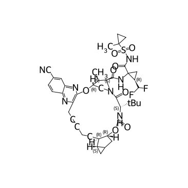 C[C@@H]1[C@@H]2CN(C(=O)[C@H](C(C)(C)C)NC(=O)O[C@@H]3CC4C[C@@H]4[C@H]3CCCCCc3nc4ccc(C#N)cc4nc3O2)[C@@H]1C(=O)NC1(C(=O)NS(=O)(=O)C2(C)CC2)C[C@H]1C(F)F